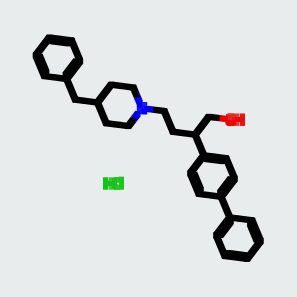 Cl.OCC(CCN1CCC(Cc2ccccc2)CC1)c1ccc(-c2ccccc2)cc1